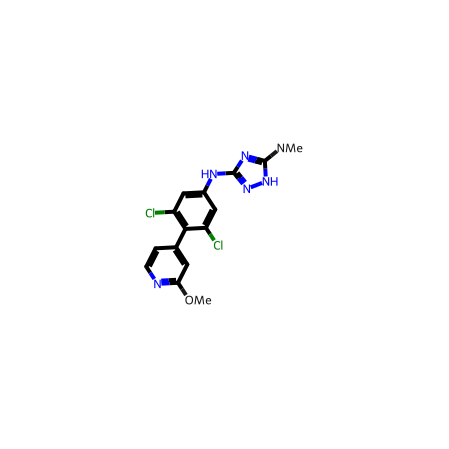 CNc1nc(Nc2cc(Cl)c(-c3ccnc(OC)c3)c(Cl)c2)n[nH]1